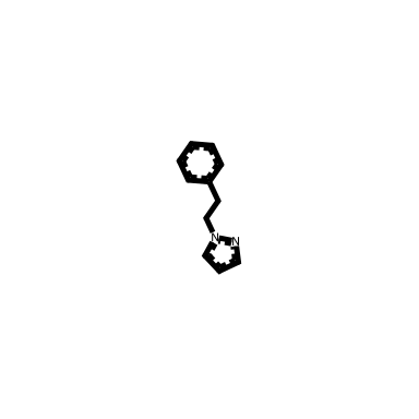 [c]1cnn(CCc2ccccc2)c1